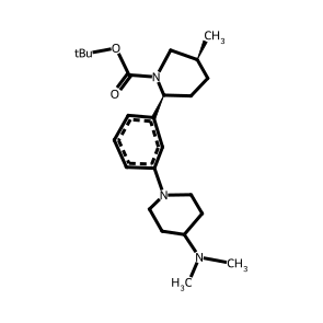 C[C@H]1CC[C@@H](c2cccc(N3CCC(N(C)C)CC3)c2)N(C(=O)OC(C)(C)C)C1